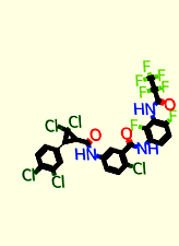 O=C(Nc1ccc(F)c(NC(=O)C(F)(F)C(F)(F)F)c1F)c1cc(NC(=O)C2[C@H](c3ccc(Cl)c(Cl)c3)C2(Cl)Cl)ccc1Cl